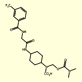 CN(C)C(=O)OCN(C(=O)O)C1CCC(NC(=O)CNC(=O)c2cccc(C(F)(F)F)c2)CC1